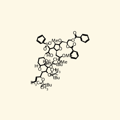 COC(C[C@@H]1OC(C[C@@H](COC(=O)c2ccccc2)OC(=O)c2ccccc2)[C@H](OC)C1C(C(O)C[C@H]1CC[C@@H]2O[C@@H]([C@H](/C=C/I)O[Si](C)(C)C(C)(C)C)C(O[Si](C)(C)C(C)(C)C)C(O[Si](C)(C)C(C)(C)C)[C@H]2O1)S(=O)(=O)c1ccccc1)OC